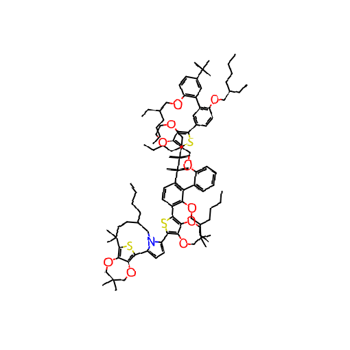 CCCCC(CC)COc1ccc(-c2sc(C(C)(C)C(C)(C)c3ccc(-c4sc(-c5ccc6n5CC(CCCC)CCC(C)(C)c5sc-6c6c5OCC(C)(C)CO6)c5c4OCC(C)(C)CO5)c(OCC(CC)CCCC)c3-c3ccccc3OCC(CC)CCCC)c3c2OCCO3)cc1-c1cc(C(C)(C)C)ccc1OCC(CC)CCCC